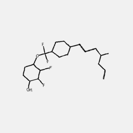 CCCC(C)CCCC1CCC(C(F)(F)OC2CCC(O)C(F)C2F)CC1